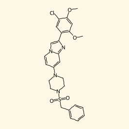 COc1cc(OC)c(-c2cn3ccc(N4CCN(S(=O)(=O)Cc5ccccc5)CC4)cc3n2)cc1Cl